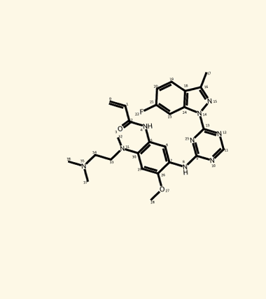 C=CC(=O)Nc1cc(Nc2ncnc(-n3nc(C)c4ccc(F)cc43)n2)c(OC)cc1N(C)CCN(C)C